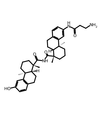 C[C@]1(C(=O)NC(=O)[C@@]2(C)CCC[C@]3(C)c4cc(NC(=O)CCN)ccc4CC[C@@H]23)CCC[C@]2(C)c3cc(O)ccc3CC[C@@H]12